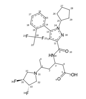 CC(CC(CC(=O)O)NC(=O)c1cc(-c2ccccc2C(C)(F)F)n(C2CCCC2)n1)N1C[C@H](F)[C@@H](F)C1